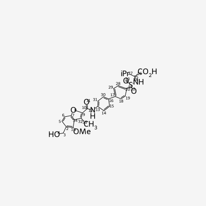 COc1c(CO)ccc2oc(C(=O)Nc3ccc(-c4ccc(S(=O)(=O)NC(C(=O)O)C(C)C)cc4)cc3)c(C)c12